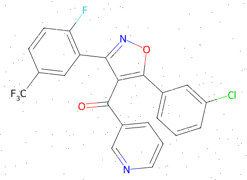 O=C(c1cccnc1)c1c(-c2cc(C(F)(F)F)ccc2F)noc1-c1cccc(Cl)c1